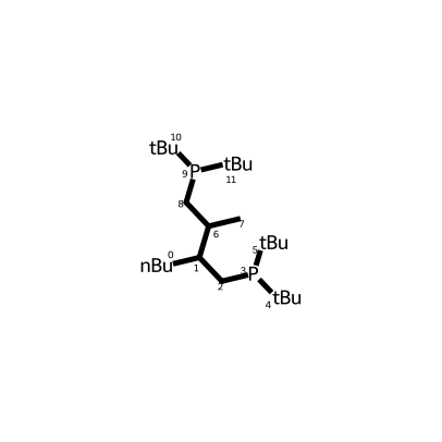 CCCCC(CP(C(C)(C)C)C(C)(C)C)C(C)CP(C(C)(C)C)C(C)(C)C